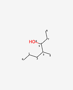 CCCC(C)[C](O)CC